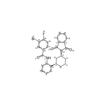 O=C(Nc1cnccc1[C@@H]1CCC[C@H](N2C(=O)c3ccccc3C2=O)C1)c1ccc(F)c(Br)n1